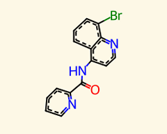 O=C(Nc1ccnc2c(Br)cccc12)c1ccccn1